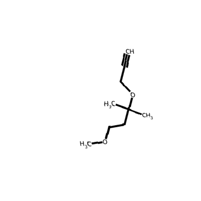 C#CCOC(C)(C)CCOC